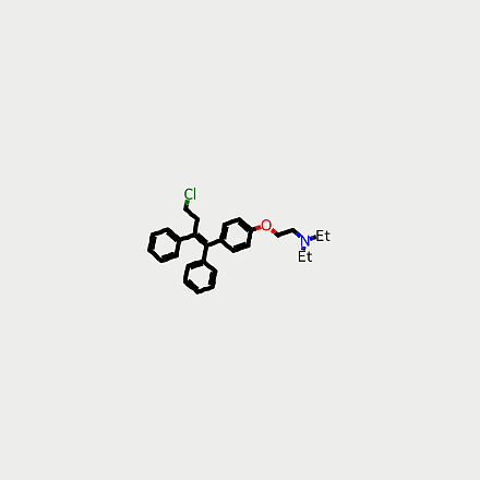 CCN(CC)CCOc1ccc(/C(=C(\CCCl)c2ccccc2)c2ccccc2)cc1